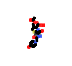 CC(=O)OCC1=C(C(=O)O)N2C(=O)[C@@H](NC(=O)Cn3ccc(=O)cc3)[C@H]2SC1